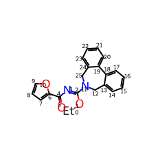 CCOC(=NC(=O)c1ccco1)N1Cc2ccccc2-c2ccccc2C1